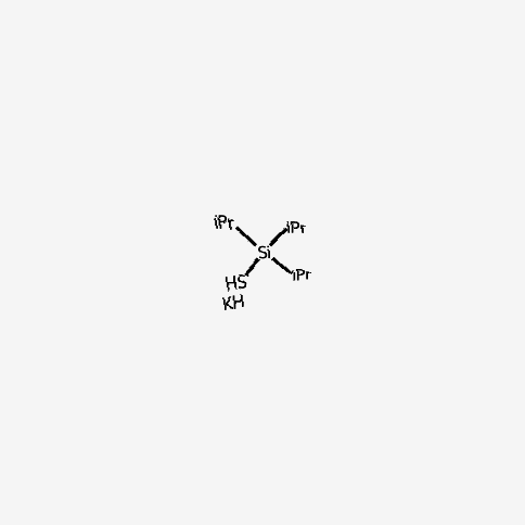 CC(C)[Si](S)(C(C)C)C(C)C.[KH]